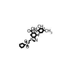 Cc1ccc(Nc2c(C(=O)O)cc3c(ncn3CCS(=O)(=O)c3ccccc3)c2F)c(C)c1